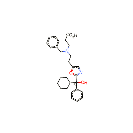 O=C(O)CCN(CCc1cnc([C@](O)(c2ccccc2)C2CCCCC2)o1)Cc1ccccc1